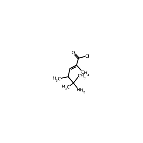 CC(=CC(C)C(C)(C)N)C(=O)Cl